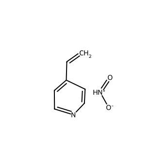 C=Cc1ccncc1.O=[NH+][O-]